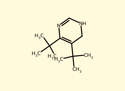 CC(C)(C)C1=C(C(C)(C)C)N=CNC1